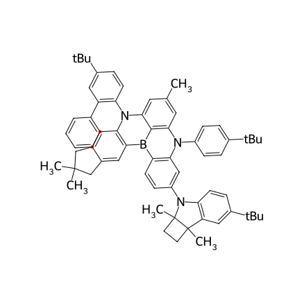 Cc1cc2c3c(c1)N(c1ccc(C(C)(C)C)cc1-c1ccccc1)c1cc4c(cc1B3c1ccc(N3c5ccc(C(C)(C)C)cc5C5(C)CCC35C)cc1N2c1ccc(C(C)(C)C)cc1)CC(C)(C)C4